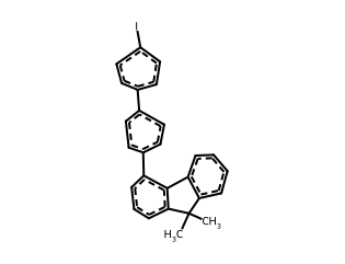 CC1(C)c2ccccc2-c2c(-c3ccc(-c4ccc(I)cc4)cc3)cccc21